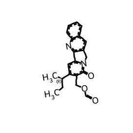 CC[C@@H](C)c1cc2n(c(=O)c1COC=O)Cc1cc3ccccc3nc1-2